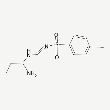 CCC(N)NC=NS(=O)(=O)c1ccc(C)cc1